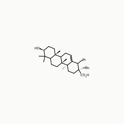 CCCC[C@]1(C(=O)O)CC[C@]2(C)C(=CCC3[C@@]4(C)CC[C@H](O)C(C)(C)C4CC[C@]32C)C1C(C)C